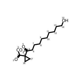 CCOC(=O)C(=O)C1(C(=O)CCCCCCCCCO)CC1